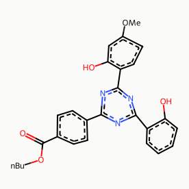 CCCCOC(=O)c1ccc(-c2nc(-c3ccccc3O)nc(-c3ccc(OC)cc3O)n2)cc1